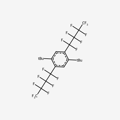 CC(C)(C)c1cc(C(F)(F)C(F)(F)C(F)(F)C(F)(F)F)c(C(C)(C)C)cc1C(F)(F)C(F)(F)C(F)(F)C(F)(F)F